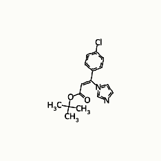 CC(C)(C)OC(=O)C=C(c1ccc(Cl)cc1)n1ccnc1